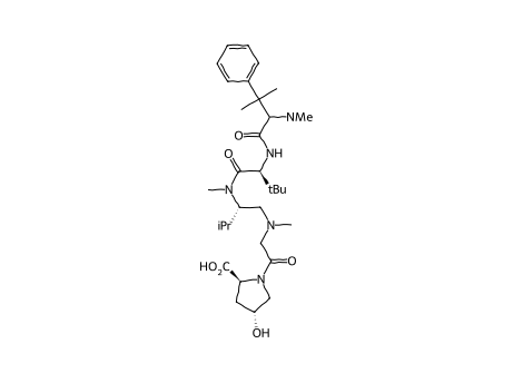 CNC(C(=O)N[C@H](C(=O)N(C)[C@H](CN(C)CC(=O)N1C[C@H](O)C[C@H]1C(=O)O)C(C)C)C(C)(C)C)C(C)(C)c1ccccc1